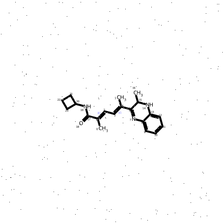 C/C(=C\C=C(/C)C1=Nc2ccccc2NC1C)C(=O)NC1CCC1